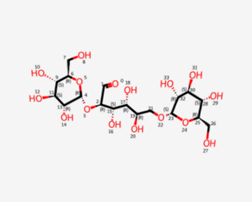 O=C[C@H](O[C@H]1O[C@H](CO)[C@@H](O)[C@H](O)[C@H]1O)[C@@H](O)[C@H](O)[C@H](O)CO[C@H]1O[C@H](CO)[C@@H](O)[C@H](O)[C@H]1O